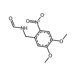 COc1cc(CNC=O)c([N+](=O)[O-])cc1OC